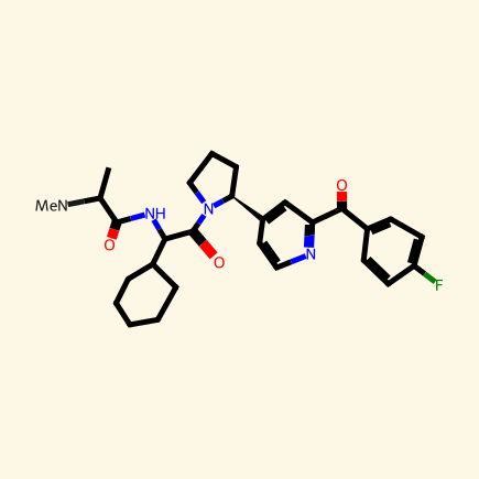 CNC(C)C(=O)NC(C(=O)N1CCC[C@H]1c1ccnc(C(=O)c2ccc(F)cc2)c1)C1CCCCC1